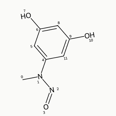 CN(N=O)c1cc(O)cc(O)c1